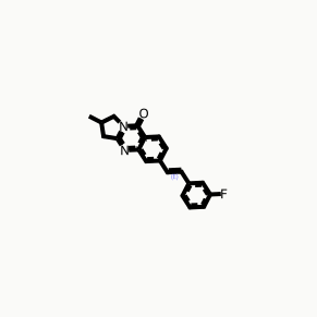 CC1Cc2nc3cc(/C=C/c4cccc(F)c4)ccc3c(=O)n2C1